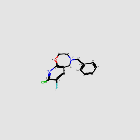 Fc1cc2c(nc1Cl)OCCN(Cc1ccccc1)C2